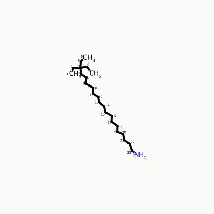 CCC(CC)(CC)CCCCCCCCCCCCCCCCCN